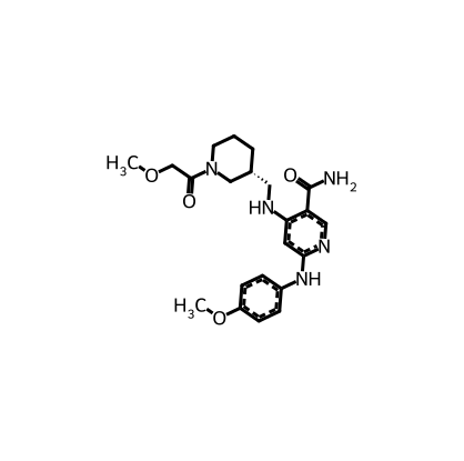 COCC(=O)N1CCC[C@H](CNc2cc(Nc3ccc(OC)cc3)ncc2C(N)=O)C1